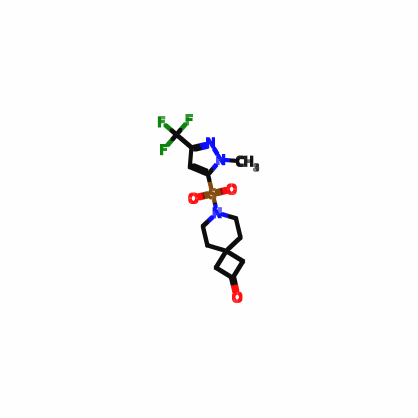 Cn1nc(C(F)(F)F)cc1S(=O)(=O)N1CCC2(CC1)CC(=O)C2